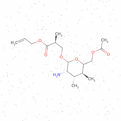 C=CCOC(=O)[C@@H](C)COC1OC(COC(C)=O)[C@@H](C)[C@H](C)[C@@H]1N